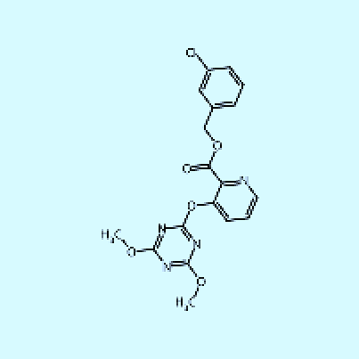 COc1nc(OC)nc(Oc2cccnc2C(=O)OCc2cccc(Cl)c2)n1